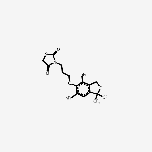 CCCc1cc2c(c(CCC)c1OCCCN1C(=O)CSC1=O)COC2(C(F)(F)F)C(F)(F)F